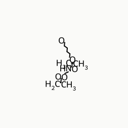 C=C(C)C(=O)OCCNC(=O)C(C)(C)OCCCCCC=O